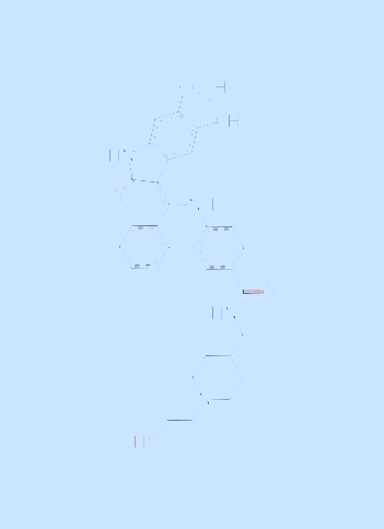 Cc1cc2c(cc1C(=O)O)NC(=O)C2=C(Nc1ccc(C(=O)NCC2CCN(CCO)CC2)cc1)c1ccccc1